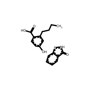 CCCCc1cc(O)ccc1C(=O)O.O=c1[nH]sc2ccccc12